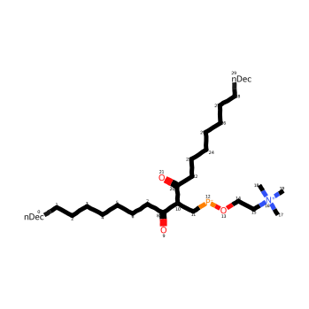 CCCCCCCCCCCCCCCCCC(=O)C(C[P-]OCC[N+](C)(C)C)C(=O)CCCCCCCCCCCCCCCCC